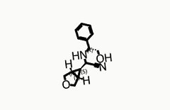 N#CC(N[C@@H](CO)c1ccccc1)[C@H]1[C@@H]2COC[C@@H]21